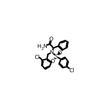 NC(=O)C(c1ccccc1)N(Cc1ccccc1Cl)S(=O)(=O)c1ccc(Cl)cc1